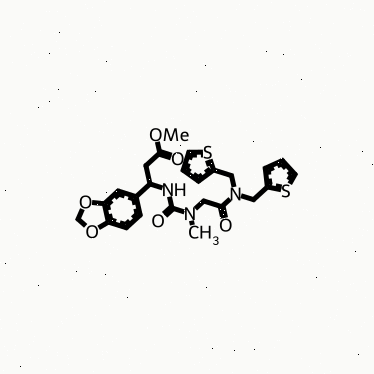 COC(=O)CC(NC(=O)N(C)CC(=O)N(Cc1cccs1)Cc1cccs1)c1ccc2c(c1)OCO2